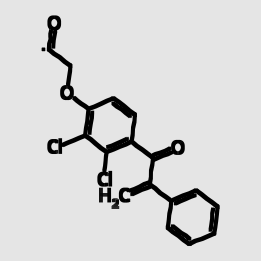 C=C(C(=O)c1ccc(OC[C]=O)c(Cl)c1Cl)c1ccccc1